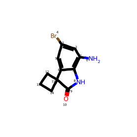 Nc1cc(Br)cc2c1NC(=O)C21CCC1